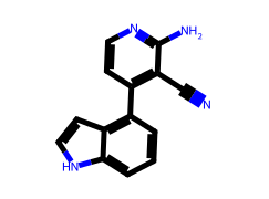 N#Cc1c(-c2cccc3[nH]ccc23)ccnc1N